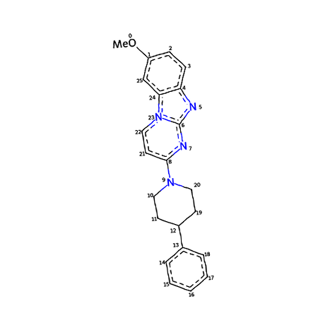 COc1ccc2nc3nc(N4CCC(c5ccccc5)CC4)ccn3c2c1